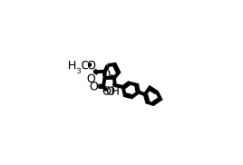 COC(=O)C1C2C=CC(C(=O)c3ccc(-c4ccccc4)cc3)(O2)C1C(=O)O